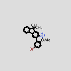 COc1ccc(Br)cc1-c1cc2c(cc1N)C(C)(C)c1ccccc1-2